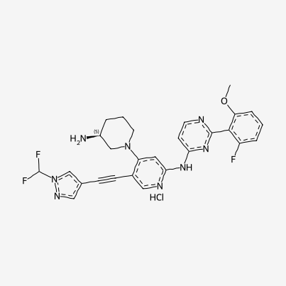 COc1cccc(F)c1-c1nccc(Nc2cc(N3CCC[C@H](N)C3)c(C#Cc3cnn(C(F)F)c3)cn2)n1.Cl